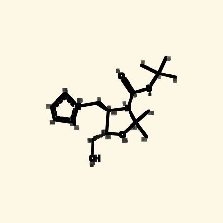 CC(C)(C)OC(=O)N1[C@H](Cn2cccn2)[C@@H](CO)OC1(C)C